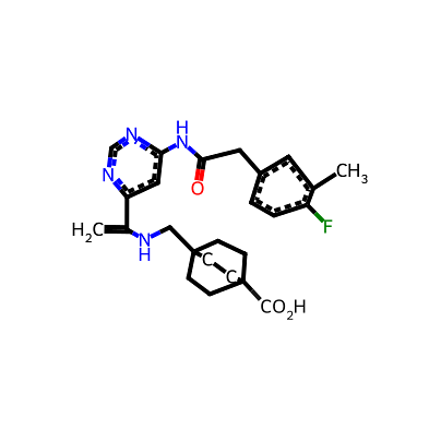 C=C(NCC12CCC(C(=O)O)(CC1)CC2)c1cc(NC(=O)Cc2ccc(F)c(C)c2)ncn1